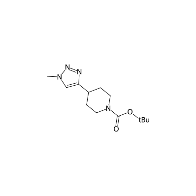 Cn1cc(C2CCN(C(=O)OC(C)(C)C)CC2)nn1